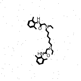 CCN(CCCCCCN(CC)CC(=O)Nc1c(C)cccc1C)CC(=O)Nc1c(C)cccc1C